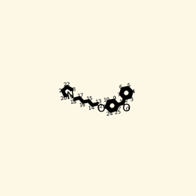 O=C(c1ccccc1)c1ccc(OCCCCCCN2CCCC2)cc1